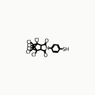 O=C1C2C(C(=O)N1c1ccc(S)cc1)C1(Cl)C(Cl)=C(Cl)C2(Cl)C1(Cl)Cl